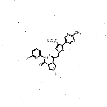 CCOC(=O)c1cn(CC(=O)N2C[C@H](F)C[C@H]2C(=O)Nc2cccc(Br)n2)nc1-c1cnc(C)nc1